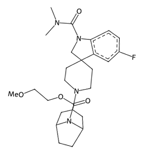 COCCOC(=O)N1C2CCC1CC(N1CCC3(CC1)CN(C(=O)N(C)C)c1ccc(F)cc13)C2